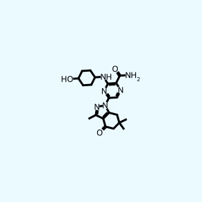 Cc1nn(-c2cnc(C(N)=O)c(NC3CCC(O)CC3)n2)c2c1C(=O)CC(C)(C)C2